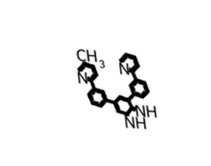 Cc1ccc(-c2cccc(C3=CC(=N)C(=N)C(c4cccc(-c5ccccn5)c4)=C3)c2)nc1